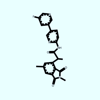 Cc1cc2c(c(C(C)C(=O)Nc3ccc(-c4cncc(F)c4)cn3)c1)C(=O)N(C)C2=O